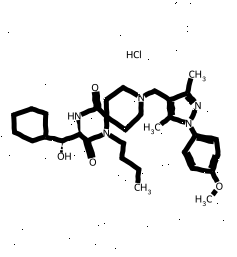 CCCCN1C(=O)[C@@H]([C@H](O)C2CCCCC2)NC(=O)C12CCN(Cc1c(C)nn(-c3ccc(OC)cc3)c1C)CC2.Cl